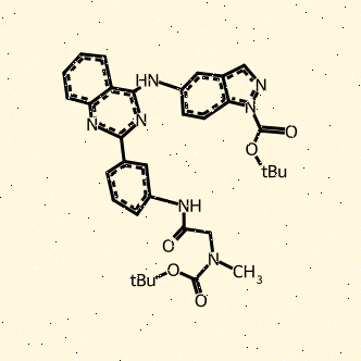 CN(CC(=O)Nc1cccc(-c2nc(Nc3ccc4c(cnn4C(=O)OC(C)(C)C)c3)c3ccccc3n2)c1)C(=O)OC(C)(C)C